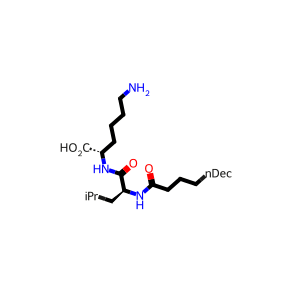 CCCCCCCCCCCCCC(=O)N[C@@H](CC(C)C)C(=O)N[C@@H](CCCCN)C(=O)O